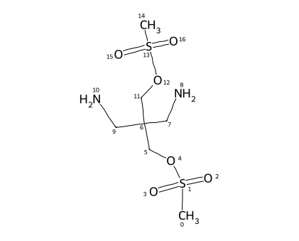 CS(=O)(=O)OCC(CN)(CN)COS(C)(=O)=O